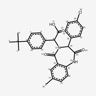 CC(C)(C)c1ccc(C(C(=O)O)N2C(=O)c3cc(I)ccc3NC(=O)C2c2ccc(Cl)cc2)cc1